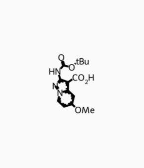 COc1ccn2nc(NC(=O)OC(C)(C)C)c(C(=O)O)c2c1